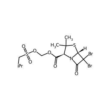 CC(C)CS(=O)(=O)OCOC(=O)[C@@H]1N2C(=O)C(Br)(Br)[C@H]2SC1(C)C